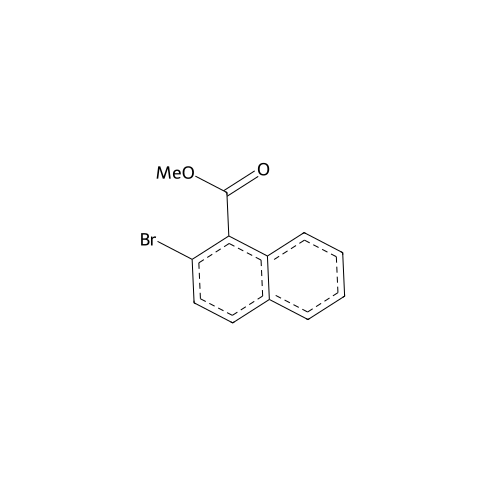 COC(=O)c1c(Br)ccc2ccccc12